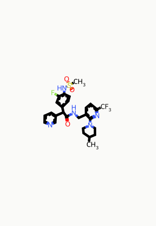 CC1CCN(c2nc(C(F)(F)F)ccc2CNC(=O)C(c2cccnc2)c2ccc(NS(C)(=O)=O)c(F)c2)CC1